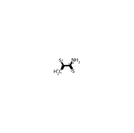 C=C([S])C(N)=S